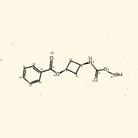 CC(C)(C)OC(=O)N[C@H]1C[C@@H](OC(=O)c2ccccc2)C1